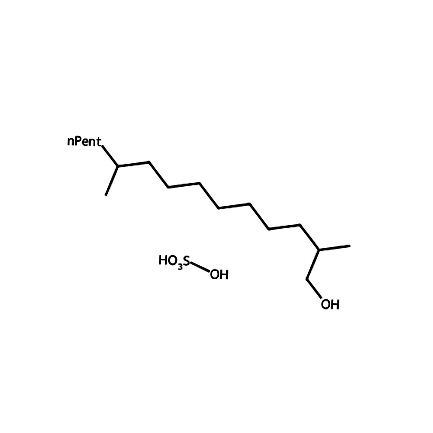 CCCCCC(C)CCCCCCCC(C)CO.O=S(=O)(O)O